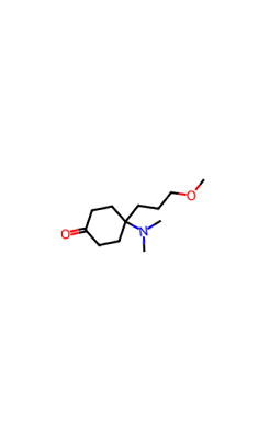 COCCCC1(N(C)C)CCC(=O)CC1